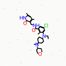 CCN(c1cc(Cl)cc(C(=O)NCc2c(C)cc(C)[nH]c2=O)c1C)C1CCC(N(C)C2CCOCC2)CC1